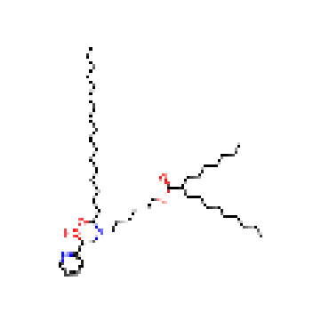 CCCCCCCCCCCCCCCCCC(=O)N(CCCCCCOC(=O)C(CCCCCCC)CCCCCCCCC)CC(O)c1ccccn1